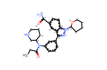 CCC(=O)N(c1cccc(-c2nn(C3CCCCO3)c3ccc(C(N)=O)cc23)c1)C1CCCNC1